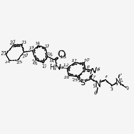 CN(C)CCN(C)c1nc2ccc(NC(=O)c3ccc(C4C=CCCC4)cc3)cc2s1